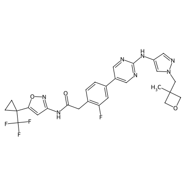 CC1(Cn2cc(Nc3ncc(-c4ccc(CC(=O)Nc5cc(C6(C(F)(F)F)CC6)on5)c(F)c4)cn3)cn2)COC1